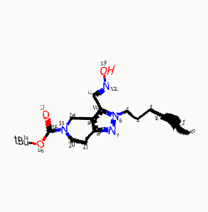 CC#CCCCn1nc2c(c1C=NO)CN(C(=O)OC(C)(C)C)CC2